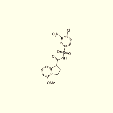 COc1cccc2c1CCC2C(=O)NS(=O)(=O)c1ccc(Cl)c([N+](=O)[O-])c1